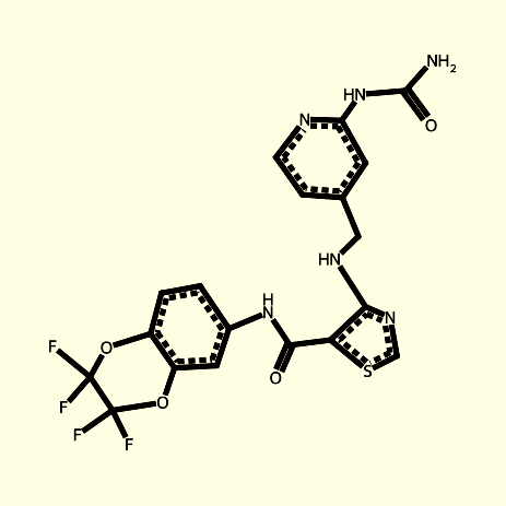 NC(=O)Nc1cc(CNc2ncsc2C(=O)Nc2ccc3c(c2)OC(F)(F)C(F)(F)O3)ccn1